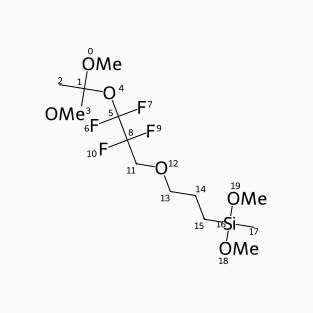 COC(C)(OC)OC(F)(F)C(F)(F)COCCC[Si](C)(OC)OC